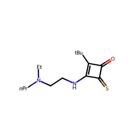 CCCN(CC)CCNc1c(C(C)(C)C)c(=O)c1=S